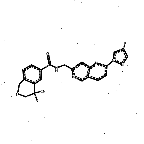 CC1(C#N)COCc2ccc(C(=O)NCc3cc4nc(-n5cc(F)cn5)ccc4cn3)cc21